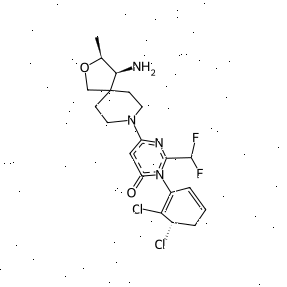 C[C@@H]1OCC2(CCN(c3cc(=O)n(C4=C(Cl)[C@@H](Cl)CC=C4)c(C(F)F)n3)CC2)[C@@H]1N